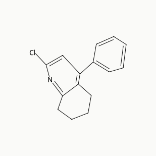 Clc1cc(-c2ccccc2)c2c(n1)CCCC2